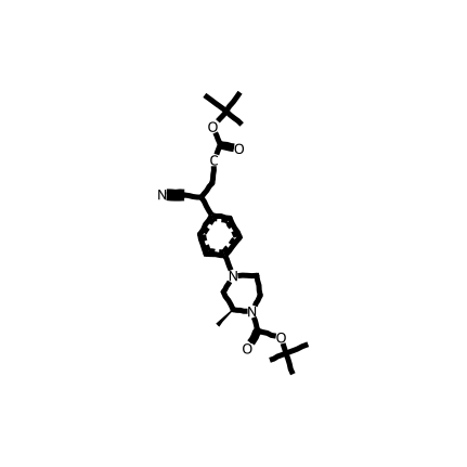 C[C@H]1CN(c2ccc(C(C#N)CCC(=O)OC(C)(C)C)cc2)CCN1C(=O)OC(C)(C)C